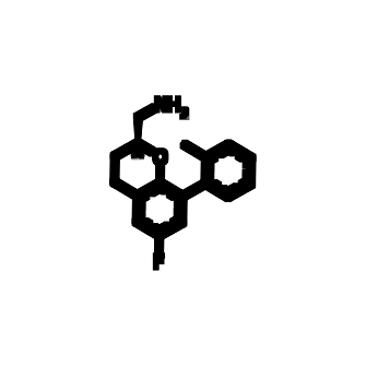 Cc1ccccc1-c1cc(F)cc2c1O[C@H](CN)CC2